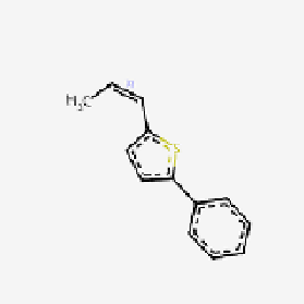 C/C=C\c1ccc(-c2ccccc2)s1